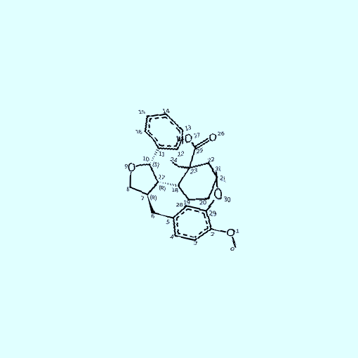 COc1ccc(C[C@H]2CO[C@H](c3ccccc3)[C@@H]2C2CCCCC2(C)C(=O)O)cc1OC